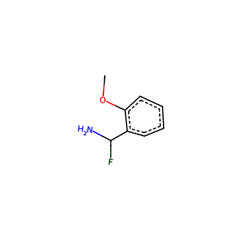 COc1ccccc1C(N)F